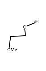 [3H]OCCOC